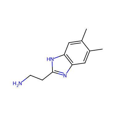 Cc1cc2nc(CCN)[nH]c2cc1C